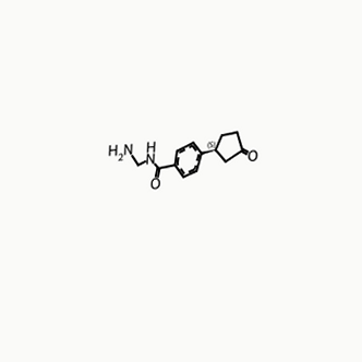 NCNC(=O)c1ccc([C@H]2CCC(=O)C2)cc1